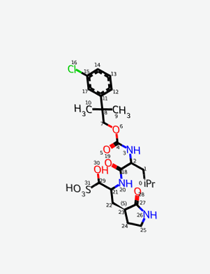 CC(C)CC(NC(=O)OCC(C)(C)c1cccc(Cl)c1)C(=O)NC(C[C@@H]1CCNC1=O)C(O)S(=O)(=O)O